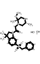 CO[C@]1(C)CN[C@H](C)CN1CC(=O)N1CC(C)(C)c2ccc(S(=O)(=O)Cc3ccccc3)cc21.Cl.Cl